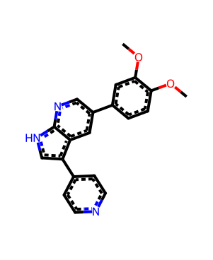 COc1ccc(-c2cnc3[nH]cc(-c4ccncc4)c3c2)cc1OC